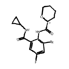 O=C(NC1CC1)c1cc(F)cc(Br)c1NC(=O)[C@@H]1CCCCO1